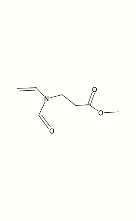 C=CN(C=O)CCC(=O)OC